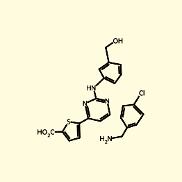 NCc1ccc(Cl)cc1.O=C(O)c1ccc(-c2ccnc(Nc3cccc(CO)c3)n2)s1